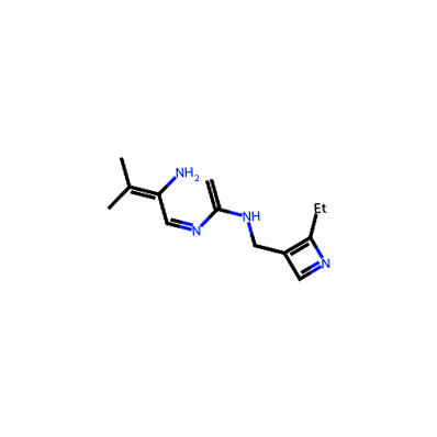 C=C(/N=C\C(N)=C(C)C)NCC1=C(CC)N=C1